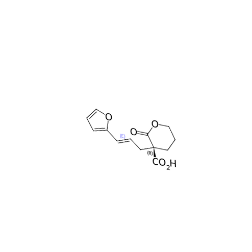 O=C(O)[C@]1(C/C=C/c2ccco2)CCCOC1=O